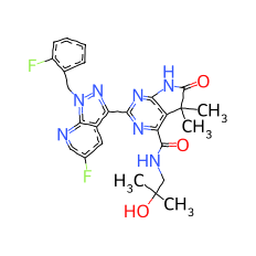 CC(C)(O)CNC(=O)c1nc(-c2nn(Cc3ccccc3F)c3ncc(F)cc23)nc2c1C(C)(C)C(=O)N2